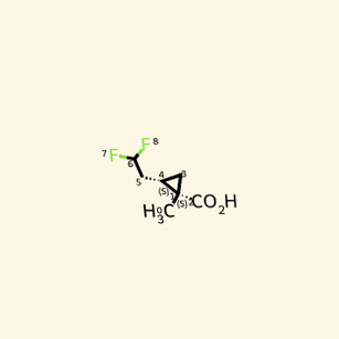 C[C@]1(C(=O)O)C[C@H]1CC(F)F